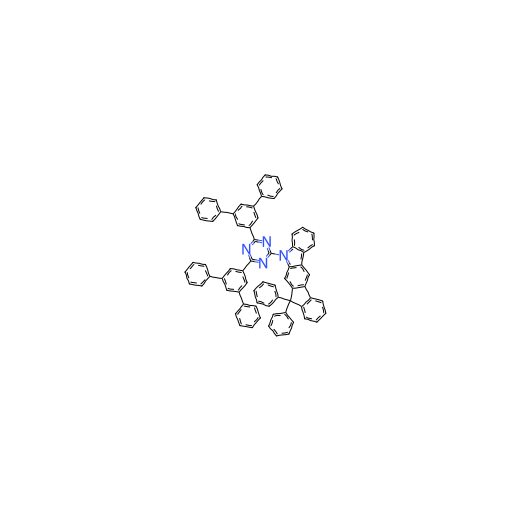 c1ccc(-c2cc(-c3ccccc3)cc(-c3nc(-c4cc(-c5ccccc5)cc(-c5ccccc5)c4)nc(-n4c5ccccc5c5cc6c(cc54)C(c4ccccc4)(c4ccccc4)c4ccccc4-6)n3)c2)cc1